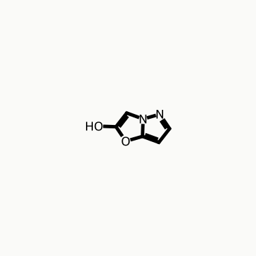 Oc1cn2nccc2o1